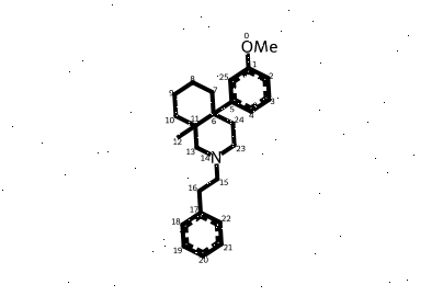 COc1cccc(C23CCCCC2(C)CN(CCc2ccccc2)CC3)c1